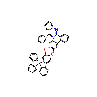 c1ccc(-c2nc(-c3ccccc3-c3ccc4c(c3)Oc3cc5c(cc3O4)C(c3ccccc3)(c3ccccc3)c3ccccc3-5)nc3ccccc23)cc1